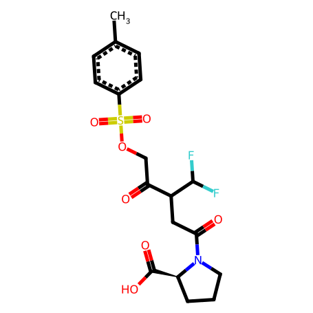 Cc1ccc(S(=O)(=O)OCC(=O)C(CC(=O)N2CCC[C@H]2C(=O)O)C(F)F)cc1